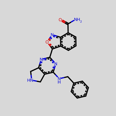 NC(=O)c1cccc2c(-c3nc4c(c(NCc5ccccc5)n3)CNC4)onc12